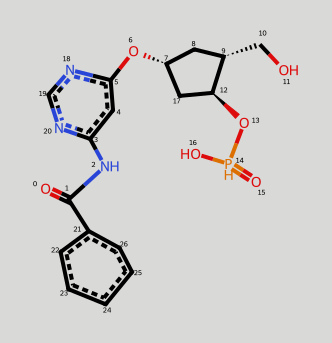 O=C(Nc1cc(O[C@@H]2C[C@H](CO)[C@@H](O[PH](=O)O)C2)ncn1)c1ccccc1